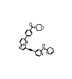 O=C(c1ccc(-c2ccc3ncc(C#Cc4ccnc(NC5=NC=CCC5)c4)n3n2)cc1)N1CCOCC1